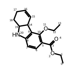 CCOC(=O)c1ccc2c(c1OCC)C1C=CCCC1N2